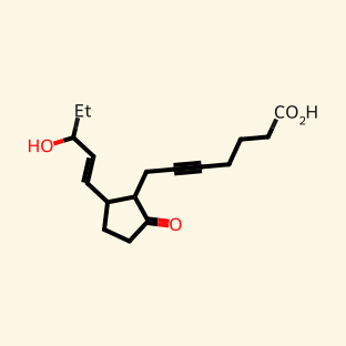 CCC(O)C=CC1CCC(=O)C1CC#CCCCC(=O)O